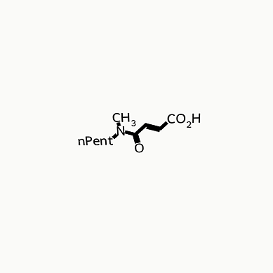 CCCCCN(C)C(=O)/C=C/C(=O)O